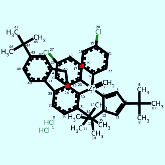 Cl.Cl.[CH2]=[Zr]([C]1=CC(C(C)(C)C)=CC1C(C)C)([c]1ccc(Cl)cc1)([c]1ccc(Cl)cc1)[c]1c(C(C)(C)C)ccc2c1Cc1cc(C(C)(C)C)ccc1-2